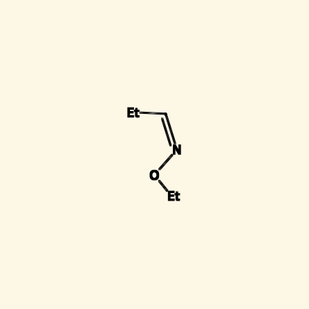 CC/C=N\OCC